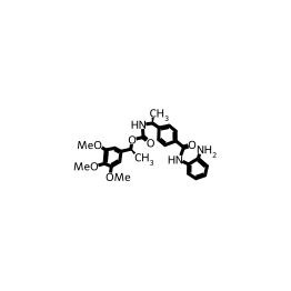 COc1cc([C@H](C)OC(=O)N[C@@H](C)c2ccc(C(=O)Nc3ccccc3N)cc2)cc(OC)c1OC